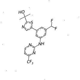 CC(C)(O)c1ncc(-c2cc(Nc3nccc(C(F)(F)F)n3)cc(C(F)F)c2)s1